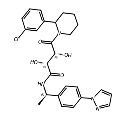 C[C@@H](NC(=O)[C@H](O)[C@@H](O)C(=O)N1CCCCC1c1cccc(Cl)c1)c1ccc(-n2cccn2)cc1